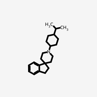 CC(C)C1CCC(N2CCC3(CCc4ccccc43)CC2)CC1